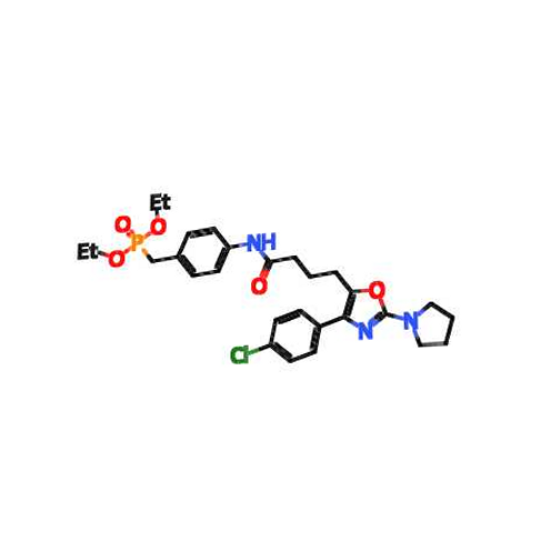 CCOP(=O)(Cc1ccc(NC(=O)CCCc2oc(N3CCCC3)nc2-c2ccc(Cl)cc2)cc1)OCC